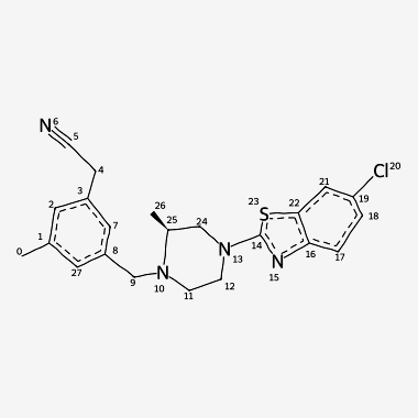 Cc1cc(CC#N)cc(CN2CCN(c3nc4ccc(Cl)cc4s3)C[C@@H]2C)c1